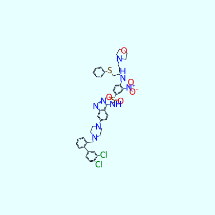 O=[N+]([O-])c1cc(S(=O)(=O)Nc2ncnc3cc(N4CCN(Cc5ccccc5-c5ccc(Cl)c(Cl)c5)CC4)ccc23)ccc1N[C@H](CCN1CCOCC1)CSc1ccccc1